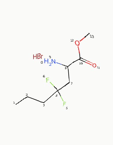 Br.CCCC(F)(F)CC(N)C(=O)OC